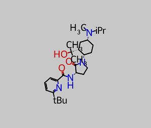 CC(C)N(C)[C@@H]1CC[C@H](N2CC[C@H](NC(=O)c3cccc(C(C)(C)C)n3)C2=O)[C@H](C(C)(C)O)C1